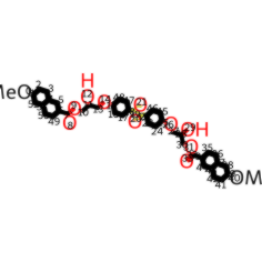 COc1ccc2cc(C(=O)OCC(O)COc3ccc(S(=O)(=O)c4ccc(OCC(O)COC(=O)c5ccc6cc(OC)ccc6c5)cc4)cc3)ccc2c1